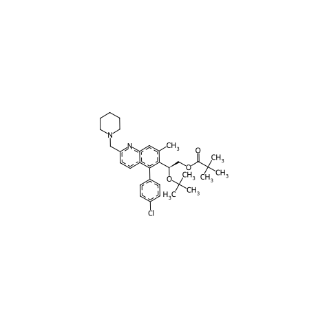 Cc1cc2nc(CN3CCCCC3)ccc2c(-c2ccc(Cl)cc2)c1[C@@H](COC(=O)C(C)(C)C)OC(C)(C)C